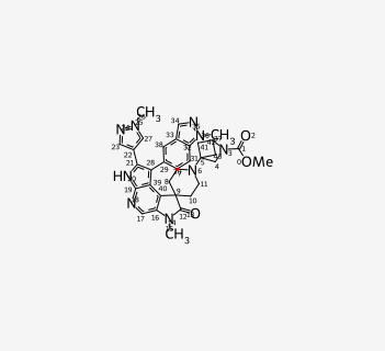 COC(=O)N1CC2(N3CCC4(CC3)C(=O)N(C)c3cnc5[nH]c(-c6cnn(C)c6)c(-c6ccc7c(cnn7C)c6)c5c34)CC1C2